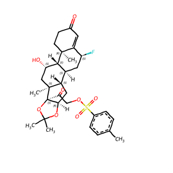 Cc1ccc(S(=O)(=O)OCC(=O)[C@@]23OC(C)(C)O[C@@H]2C[C@H]2[C@@H]4C[C@H](F)C5=CC(=O)CC[C@]5(C)[C@H]4[C@@H](O)C[C@@]23C)cc1